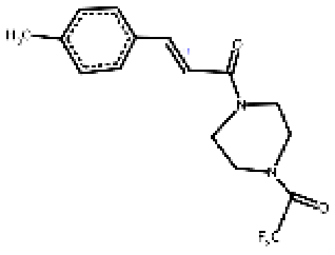 Cc1ccc(/C=C/C(=O)N2CCN(C(=O)C(F)(F)F)CC2)cc1